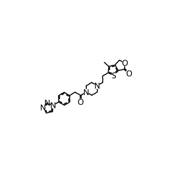 Cc1c(CCN2CCN(C(=O)Cc3ccc(-n4ccnn4)cc3)CC2)sc2c1COC2=O